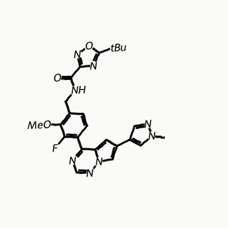 COc1c(CNC(=O)c2noc(C(C)(C)C)n2)ccc(-c2ncnn3cc(-c4cnn(C)c4)cc23)c1F